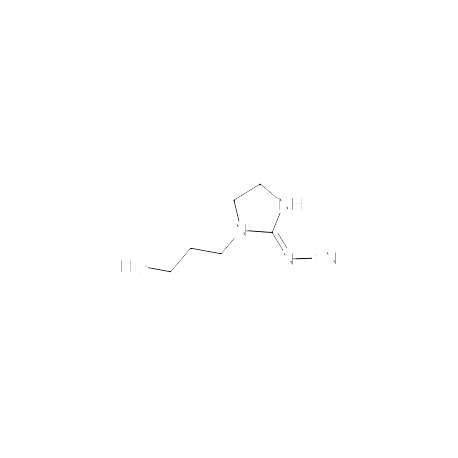 N#C/N=C1\NCCN1CCCO